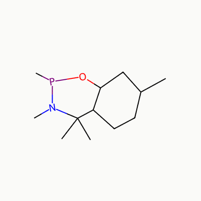 CC1CCC2C(C1)OP(C)N(C)C2(C)C